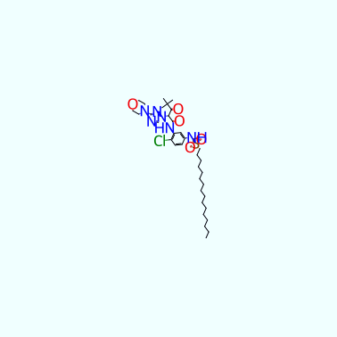 CCCCCCCCCCCCCCCCS(=O)(=O)Nc1ccc(Cl)c(NC(=O)C(C(=O)C(C)(C)C)n2cnc(N3CCOCC3)n2)c1